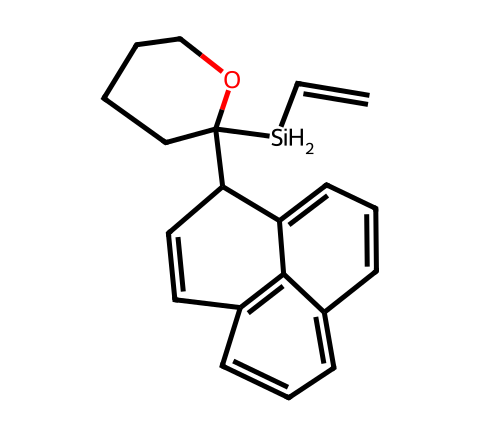 C=C[SiH2]C1(C2C=Cc3cccc4cccc2c34)CCCCO1